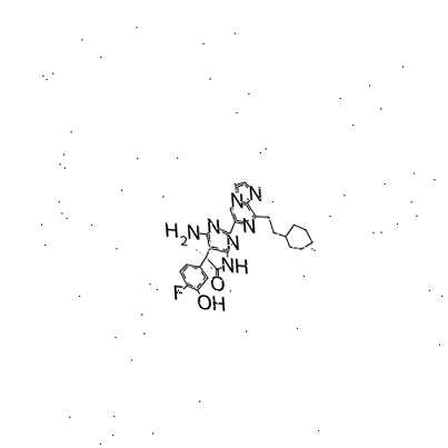 C[C@@]1(c2ccc(F)c(O)c2)C(=O)Nc2nc(-c3cn4ccnc4c(CCC4CCCCC4)n3)nc(N)c21